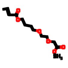 CC=CC(=O)OCCCCOCCOCC(=O)O[SiH3]